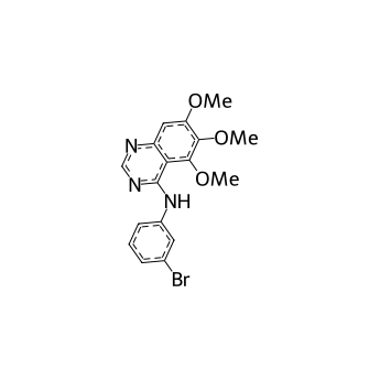 COc1cc2ncnc(Nc3cccc(Br)c3)c2c(OC)c1OC